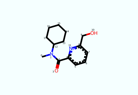 CN(C(=O)c1cccc(CO)n1)C1CCCCC1